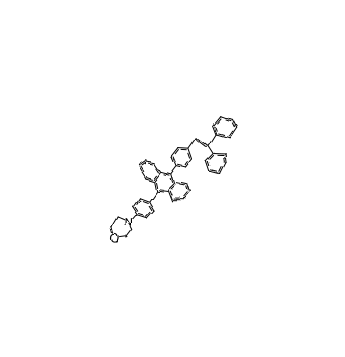 C(=C(c1ccccc1)c1ccccc1)c1ccc(-c2c3ccccc3c(-c3ccc(N4CCOCC4)cc3)c3ccccc23)cc1